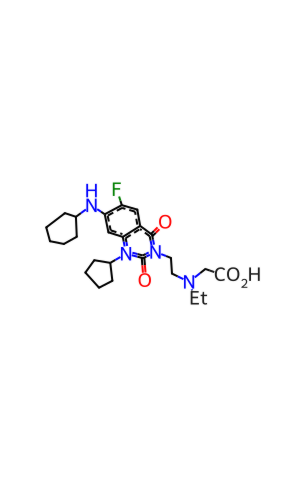 CCN(CCn1c(=O)c2cc(F)c(NC3CCCCC3)cc2n(C2CCCC2)c1=O)CC(=O)O